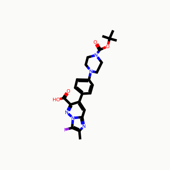 Cc1nc2cc(-c3ccc(N4CCN(C(=O)OC(C)(C)C)CC4)cc3)c(C(=O)O)nn2c1I